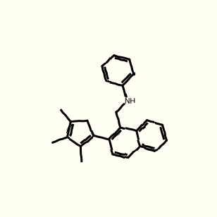 CC1=C(C)C(C)=C(c2ccc3ccccc3c2CNc2ccccc2)C1